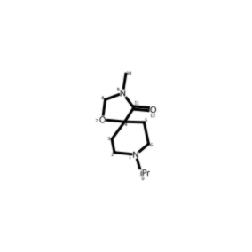 CC(C)N1CCC2(CC1)OCN(C)C2=O